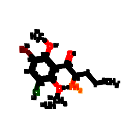 [CH2]CCC(P)C(=O)c1c(OC)c(Cl)cc(Br)c1OC.[LiH]